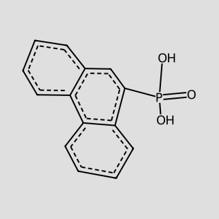 O=P(O)(O)c1cc2ccccc2c2ccccc12